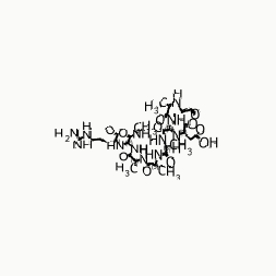 CNC(=O)[C@@H](NC(=O)[C@H](C)NC(=O)[C@H](C)NC(=O)[C@H](C)NC(=O)[C@@H](NC(=O)C(C)NCC=O)N[C@@H](C=O)CC(=O)O)N[C@@H](C=O)CCCNC(=N)N